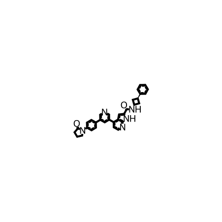 O=C(N[C@H]1C[C@H](c2ccccc2)C1)c1cc2c(-c3cncc(-c4ccc(N5CCCC5=O)cc4)c3)ccnc2[nH]1